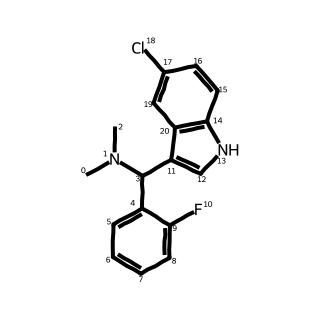 CN(C)C(c1ccccc1F)c1c[nH]c2ccc(Cl)cc12